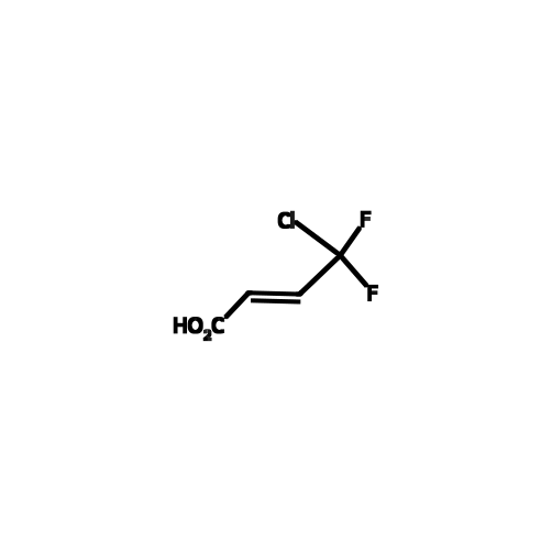 O=C(O)C=CC(F)(F)Cl